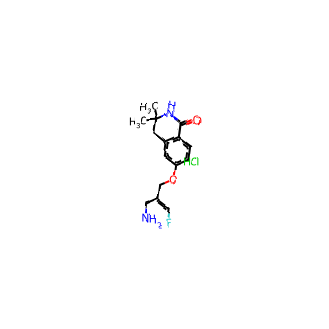 CC1(C)Cc2cc(OCC(=CF)CN)ccc2C(=O)N1.Cl